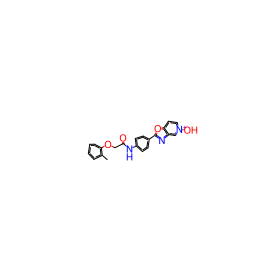 Cc1ccccc1OCC(=O)Nc1ccc(-c2nc3c[n+](O)ccc3o2)cc1